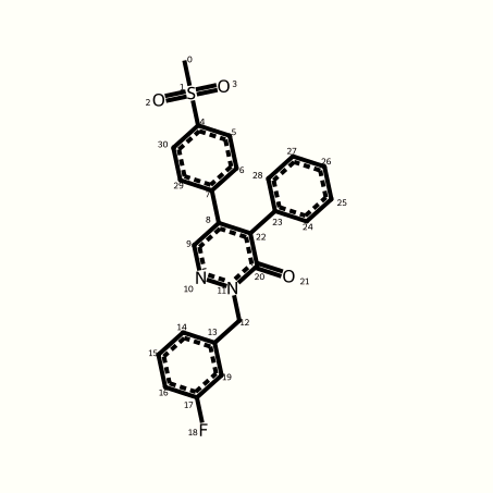 CS(=O)(=O)c1ccc(-c2cnn(Cc3cccc(F)c3)c(=O)c2-c2ccccc2)cc1